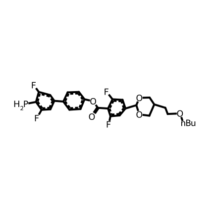 CCCCOCCC1COC(c2cc(F)c(C(=O)Oc3ccc(-c4cc(F)c(P)c(F)c4)cc3)c(F)c2)OC1